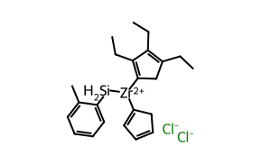 CCC1=C(CC)C(CC)=[C]([Zr+2]([SiH2]c2ccccc2C)[C]2=CC=CC2)C1.[Cl-].[Cl-]